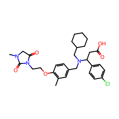 Cc1cc(CN(CC2CCCCC2)C(CC(=O)O)c2ccc(Cl)cc2)ccc1OCCN1C(=O)CN(C)C1=O